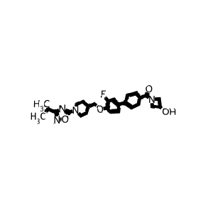 CC(C)c1noc(N2CCC(COc3ccc(C4=CCC(C(=O)N5CC(O)C5)CC4)cc3F)CC2)n1